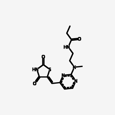 CCC(=O)NCCN(C)c1nccc(/C=C2\SC(=O)NC2=O)n1